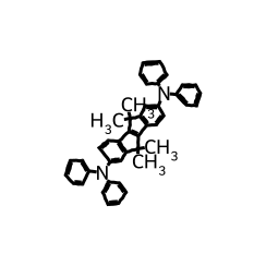 CC1(C)C2=C(c3ccc(N(c4ccccc4)c4ccccc4)cc31)C(C)(C)c1cc(N(c3ccccc3)c3ccccc3)ccc12